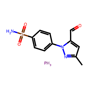 Cc1cc(C=O)n(-c2ccc(S(N)(=O)=O)cc2)n1.P